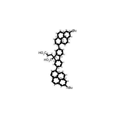 CC(C)(C)c1cc2ccc3ccc(-c4ccc5c(c4)C(CCC(=O)O)(C(=O)O)c4cc(-c6ccc7ccc8cc(C(C)(C)C)cc9ccc6c7c89)ccc4-5)c4ccc(c1)c2c34